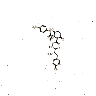 CC(C)C[C@@H](NC(=O)[C@@H](N)Cc1ccc(O)cc1)C(=O)N1C(=O)CCC(=O)[C@]1(C(=O)Nc1ccc([N+](=O)[O-])cc1)C(C)C